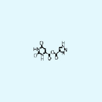 O=C(OC(=O)c1cc(=O)[nH]c(=O)[nH]1)c1c[nH]nn1